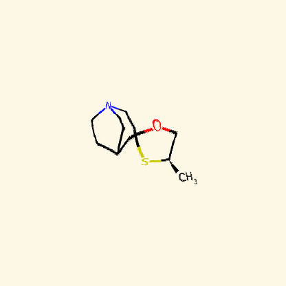 C[C@@H]1COC2(CN3CCC2CC3)S1